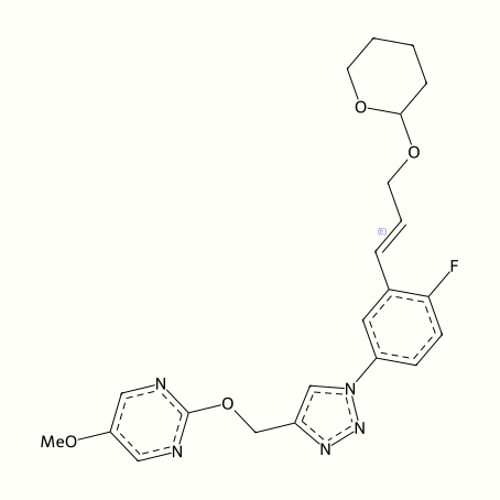 COc1cnc(OCc2cn(-c3ccc(F)c(/C=C/COC4CCCCO4)c3)nn2)nc1